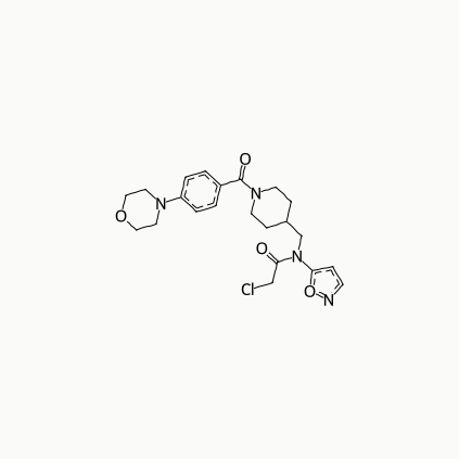 O=C(c1ccc(N2CCOCC2)cc1)N1CCC(CN(C(=O)CCl)c2ccno2)CC1